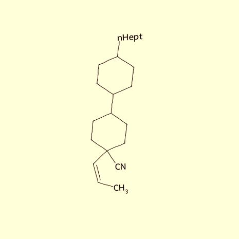 C/C=C\C1(C#N)CCC(C2CCC(CCCCCCC)CC2)CC1